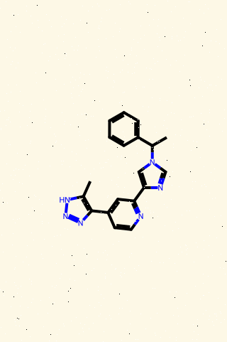 Cc1[nH]nnc1-c1ccnc(-c2cn(C(C)c3ccccc3)cn2)c1